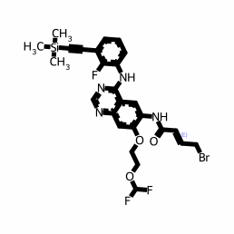 C[Si](C)(C)C#Cc1cccc(Nc2ncnc3cc(OCCOC(F)F)c(NC(=O)/C=C/CBr)cc23)c1F